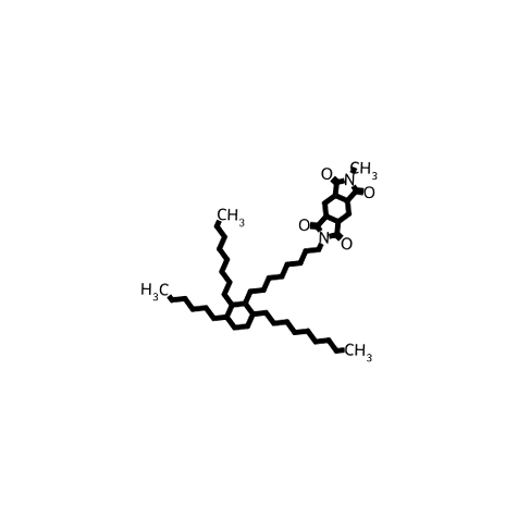 CCCCCCCCCC1CCC(CCCCCC)C(CCCCCCCC)C1CCCCCCCCN1C(=O)C2CC3C(=O)N(C)C(=O)C3CC2C1=O